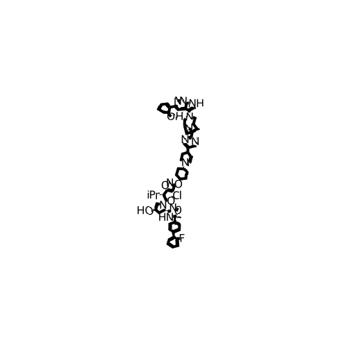 CC(C)[C@@H](C(=O)N1C[C@H](O)C[C@H]1C1=NO[C@](C)(c2ccc(-c3ccccc3F)cc2)N1)c1onc(O[C@H]2CC[C@@H](N3CCC(c4cnc(C56CC7CN(c8c[nH]c9nnc(-c%10ccccc%10O)cc89)CC(C5)N76)nc4)CC3)CC2)c1Cl